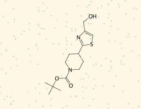 CC(C)(C)OC(=O)N1CCC(c2nc(CO)cs2)CC1